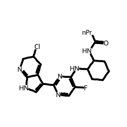 CCCC(=O)NC1CCCCC1Nc1nc(-c2c[nH]c3c2=CC(Cl)CN=3)ncc1F